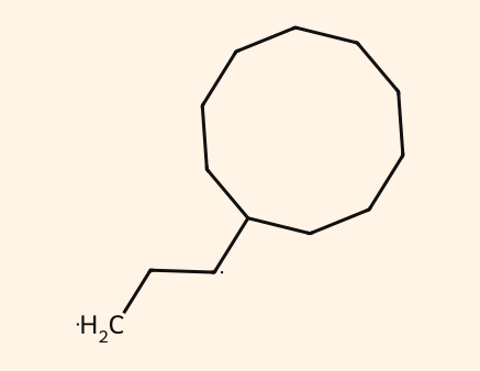 [CH2]C[CH]C1CCCCCCCCC1